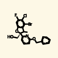 CC1c2c(cc(F)c(Cl)c2Br)O[C@]1(CO)c1cccc(OCc2ccccc2)n1